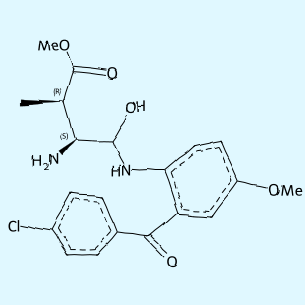 COC(=O)[C@H](C)[C@H](N)C(O)Nc1ccc(OC)cc1C(=O)c1ccc(Cl)cc1